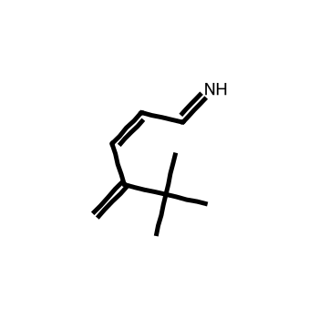 C=C(/C=C\C=N)C(C)(C)C